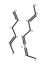 C=CCC=CC.CC=C=CCC=CC